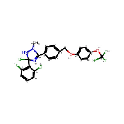 CN1NC(Cl)(c2c(F)cccc2Cl)N=C1c1ccc(COc2ccc(OC(F)(F)F)cc2)cc1